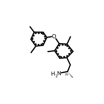 Cc1cc(C)cc(Oc2c(C)cc(C[C@H](C)N)cc2C)c1